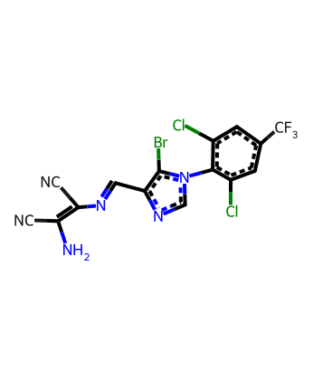 N#C/C(N)=C(C#N)/N=C/c1ncn(-c2c(Cl)cc(C(F)(F)F)cc2Cl)c1Br